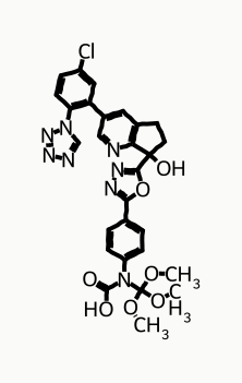 COC(OC)(OC)N(C(=O)O)c1ccc(-c2nnc(C3(O)CCc4cc(-c5cc(Cl)ccc5-n5cnnn5)cnc43)o2)cc1